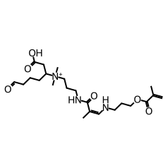 C=C(C)C(=O)OCCCNC=C(C)C(=O)NCCC[N+](C)(C)C(CCCC=O)CC(=O)O